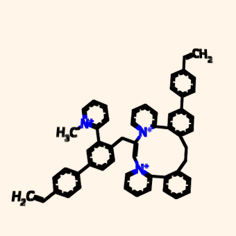 C=Cc1ccc(-c2ccc(C/C3=C/[n+]4ccccc4-c4ccccc4CCc4ccc(-c5ccc(C=C)cc5)cc4-c4cccc[n+]43)c(-c3cccc[n+]3C)c2)cc1